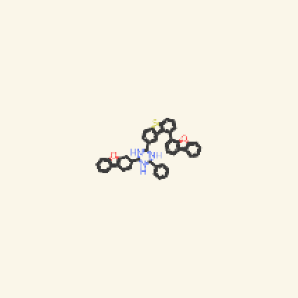 C1=CC(C2NC(c3ccccc3)NC(c3ccc4sc5cccc(-c6cccc7c6oc6ccccc67)c5c4c3)N2)Cc2oc3ccccc3c21